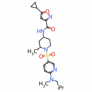 CC(C)CN(C)c1ccc(S(=O)(=O)N2CC[C@H](NC(=O)c3cc(C4CC4)on3)C[C@@H]2C)cn1